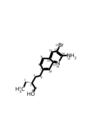 CC[C@@H](CO)CCc1ccc2cc(Br)c(N)nc2c1